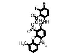 Cc1cccc(C)c1Oc1c(Br)ccc(NNc2ccc(Br)c(F)c2[N+](=O)[O-])c1[N+](=O)[O-]